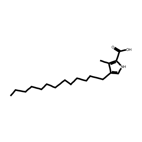 CCCCCCCCCCCCCc1c[nH]c(C(=O)O)c1C